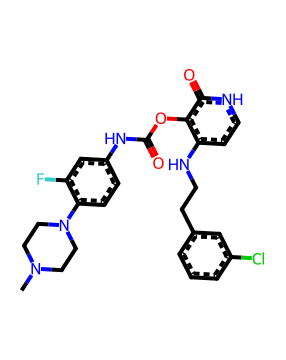 CN1CCN(c2ccc(NC(=O)Oc3c(NCCc4cccc(Cl)c4)cc[nH]c3=O)cc2F)CC1